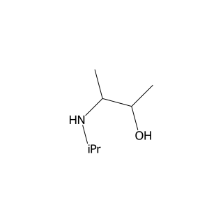 CC(C)NC(C)C(C)O